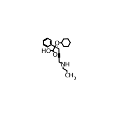 CCCNCC#CC[C@@](OC1CCCCC1)(C(=O)O)c1ccccc1